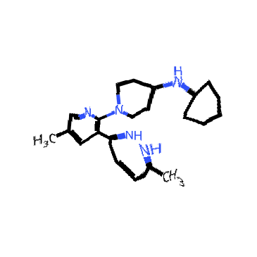 CC(=N)/C=C\C(=N)c1cc(C)cnc1N1CCC(NC2CCCCC2)CC1